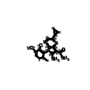 CC1CC=C(O)C(Cl)=C1n1c(N)c(C(N)=O)c2nc(C3CC3)cnc21